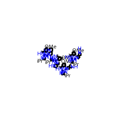 COc1cccc([C@H](C)Nc2nc(N3CC4(CCNC4)C3)nc3c(C(C)C)cnn23)c1.COc1cccc([C@H](C)Nc2nc(N3CCC34CCCNC4)nc3c(C(C)C)cnn23)c1.COc1cccc([C@H](C)Nc2nc(N3CCC4(CCNC4)C3)nc3c(C(C)C)cnn23)c1.COc1cccc([C@H](C)Nc2nc(N3CCCC4(CCCCN4)C3)nc3cc(C(C)C)nn23)c1